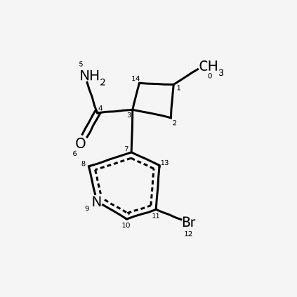 CC1CC(C(N)=O)(c2cncc(Br)c2)C1